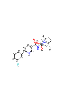 O=C(N[C@@H]1C[C@H]2CC[C@@H](C1)N2C(=O)O)c1ccc(-c2cccc(F)c2)nc1